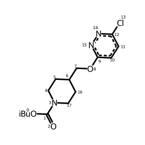 CC(C)COC(=O)N1CCC(COc2ccc(Cl)nn2)CC1